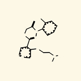 CN(C)CCOc1ccccc1C1=NN(c2ccccc2Br)C(=O)CO1